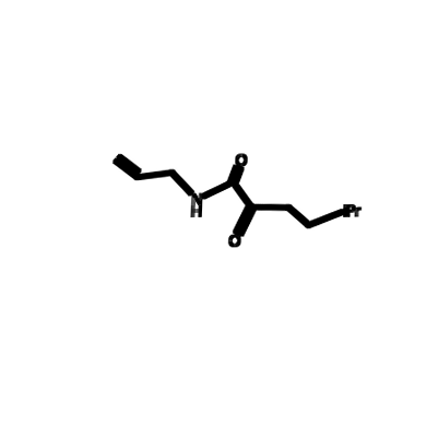 C=CCNC(=O)C(=O)CCC(C)C